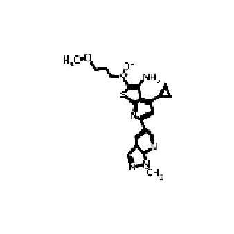 COCCC[S+]([O-])c1sc2nc(C3=CC4C=NN(C)C4N=C3)cc(C3CC3)c2c1N